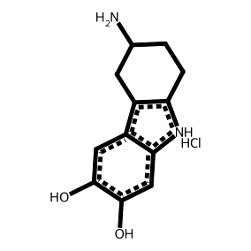 Cl.NC1CCc2[nH]c3cc(O)c(O)cc3c2C1